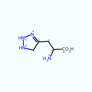 NC(CC1=NNNC1)C(=O)O